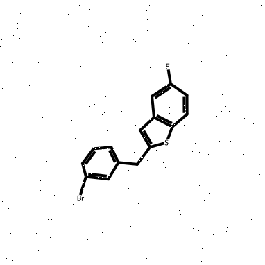 Fc1ccc2sc(Cc3cccc(Br)c3)cc2c1